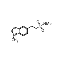 CNS(=O)(=O)CCc1ccc2c(ccn2C)c1